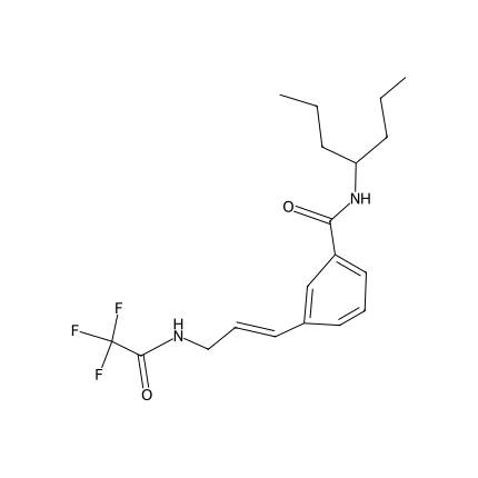 CCCC(CCC)NC(=O)c1cccc(C=CCNC(=O)C(F)(F)F)c1